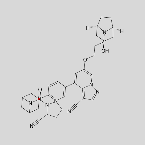 N#Cc1cnn2cc(OCCCN3[C@@H]4CC[C@H]3C[C@@H](O)C4)cc(-c3ccc(N4CC5CC(C4)N5C(=O)N4CCCC4C#N)nc3)c12